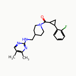 Cc1cnc(NCC2CCN(C(=O)C3CC3c3ccccc3F)CC2)nc1C